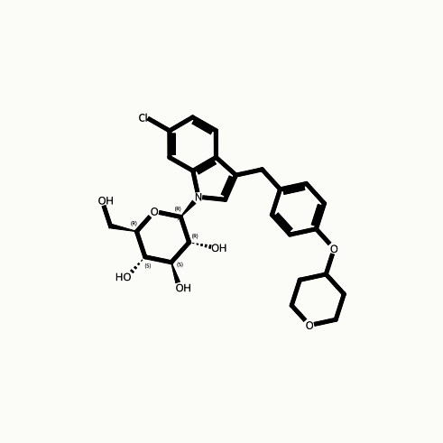 OC[C@H]1O[C@@H](n2cc(Cc3ccc(OC4CCOCC4)cc3)c3ccc(Cl)cc32)[C@H](O)[C@@H](O)[C@@H]1O